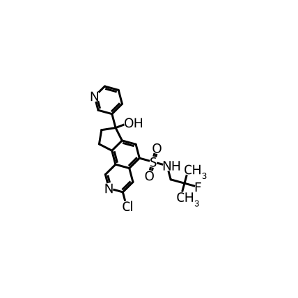 CC(C)(F)CNS(=O)(=O)c1cc2c(c3cnc(Cl)cc13)CCC2(O)c1cccnc1